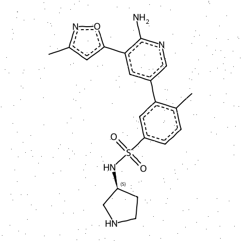 Cc1cc(-c2cc(-c3cc(S(=O)(=O)N[C@H]4CCNC4)ccc3C)cnc2N)on1